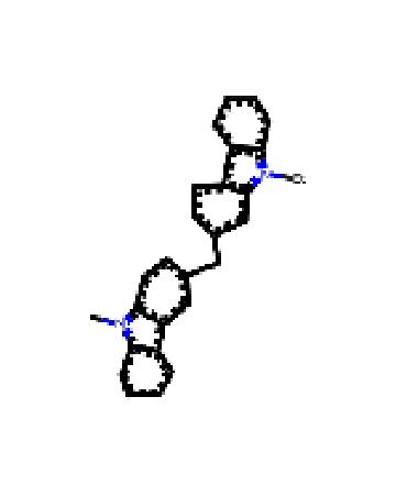 CCn1c2ccccc2c2ccc(Cc3ccc4c(c3)c3ccccc3n4C)cc21